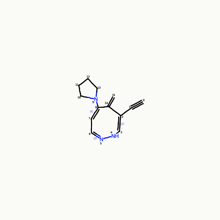 C#C/C1=C/N/N=C\C=C(\N2CCCC2)C1=C